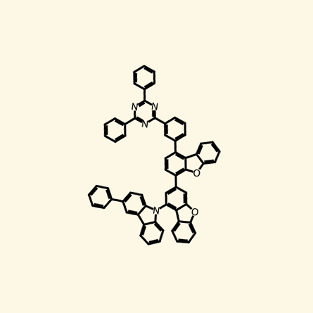 c1ccc(-c2ccc3c(c2)c2ccccc2n3-c2cc(-c3ccc(-c4cccc(-c5nc(-c6ccccc6)nc(-c6ccccc6)n5)c4)c4c3oc3ccccc34)cc3oc4ccccc4c23)cc1